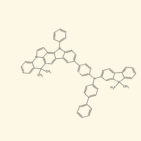 CC1(C)c2ccccc2-c2ccc(N(c3ccc(-c4ccccc4)cc3)c3ccc(-c4ccc5c(c4)c4cc6c7c(ccn7-c7ccccc7C6(C)C)c4n5-c4ccccc4)cc3)cc21